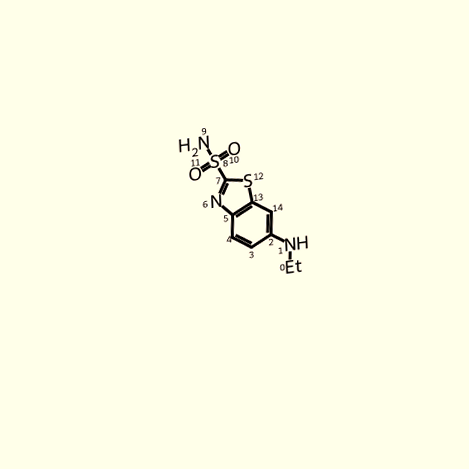 CCNc1ccc2nc(S(N)(=O)=O)sc2c1